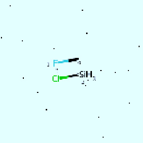 CF.[SiH3]Cl